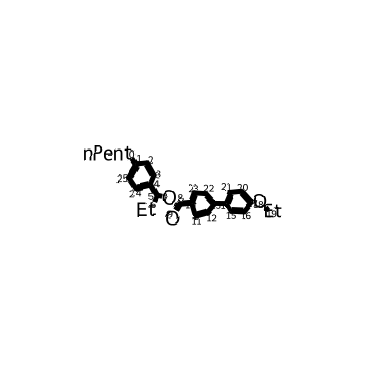 CCCCCc1ccc(C(CC)OC(=O)c2ccc(-c3ccc(OCC)cc3)cc2)cc1